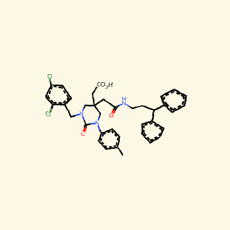 Cc1ccc(N2CC(CC(=O)O)(CC(=O)NCCC(c3ccccc3)c3ccccc3)CN(Cc3ccc(Cl)cc3Cl)C2=O)cc1